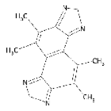 Cc1c(C)c2c3c(c(C)c(C)c2c2c1=NCN=2)=NCN=3